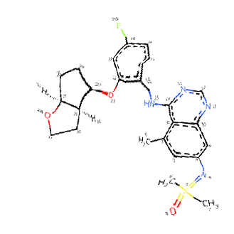 Cc1cc(N=S(C)(C)=O)cc2ncnc(Nc3ccc(F)cc3O[C@@H]3CC[C@@H]4OCC[C@@H]43)c12